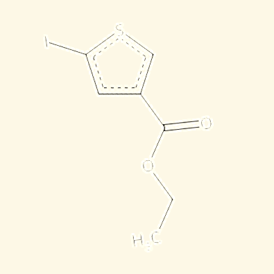 CCOC(=O)c1csc(I)c1